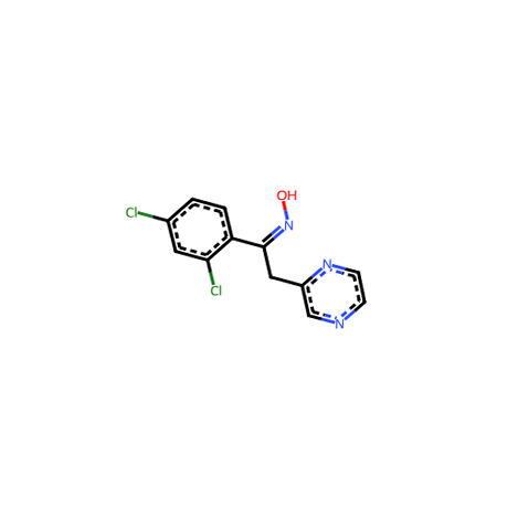 ON=C(Cc1cnccn1)c1ccc(Cl)cc1Cl